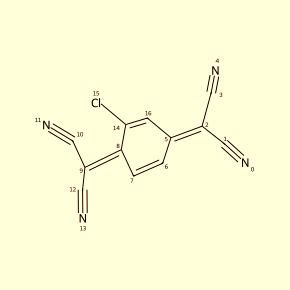 N#CC(C#N)=c1ccc(=C(C#N)C#N)c(Cl)c1